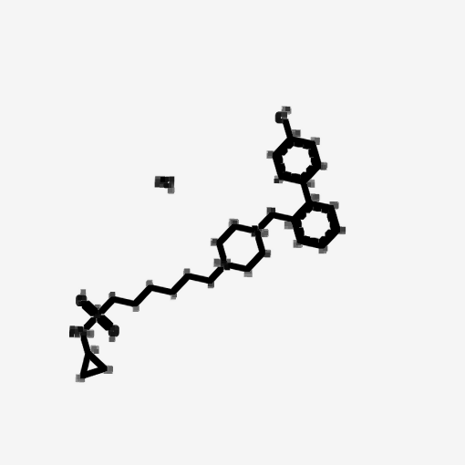 Cl.O=S(=O)(CCCCCCN1CCN(Cc2ccccc2-c2ccc(Cl)cc2)CC1)NC1CC1